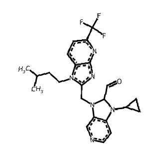 CC(C)CCn1c(CN2c3cnccc3N(C3CC3)C2C=O)nc2nc(C(F)(F)F)ccc21